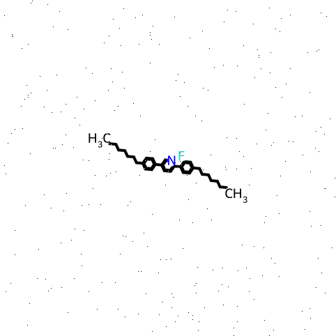 CCCCCCCCc1ccc(-c2ccc(-c3ccc(CCCCCCCC)cc3F)nc2)cc1